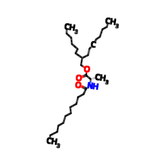 CCCCCCCCCCCC(=O)N[C@@H](C)C(=O)OCC(CCCCCC)CCCCCCCC